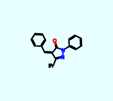 CC(C)C1=NN(c2ccccc2)C(=O)C1=Cc1ccccc1